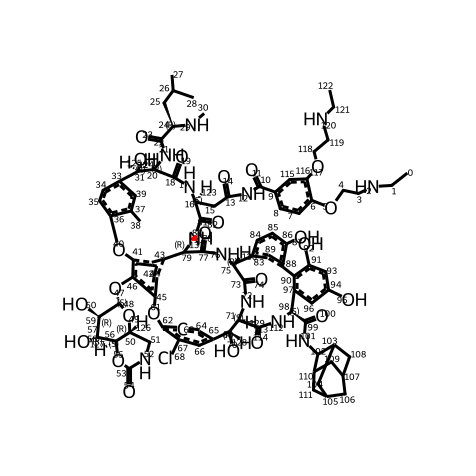 CCNCCOc1ccc(C(=O)NC(=O)C[C@@H]2NC(=O)[C@H](NC(=O)[C@@H](CC(C)C)NC)[C@H](O)c3ccc(c(C)c3)Oc3cc4cc(c3O[C@@H]3O[C@@H]5CNC(=O)O[C@H]5[C@H](O)[C@H]3O)Oc3ccc(cc3Cl)[C@@H](O)[C@@H]3NC(=O)[C@H](NC(=O)[C@@H]4NC2=O)c2ccc(O)c(c2)-c2c(O)cc(O)cc2[C@@H](C(=O)NC2C4CC5CC(C4)CC2C5)NC3=O)cc1OCCNCC